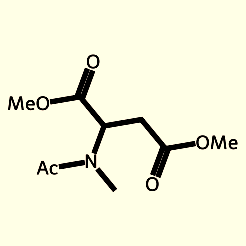 COC(=O)CC(C(=O)OC)N(C)C(C)=O